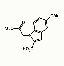 COC(=O)Cn1c(C(=O)O)cc2cc(OC)ccc21